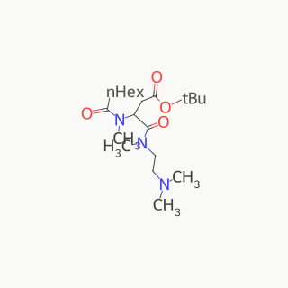 CCCCCCC(=O)N(C)C(CC(=O)OC(C)(C)C)C(=O)N(C)CCN(C)C